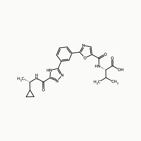 CC(C)[C@H](NC(=O)c1cnc(-c2cccc(-c3nnc(C(=O)N[C@@H](C)C4CC4)[nH]3)c2)o1)C(=O)O